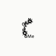 COc1ccc(OCCCC(=O)N(C)Cc2cccnc2)cc1